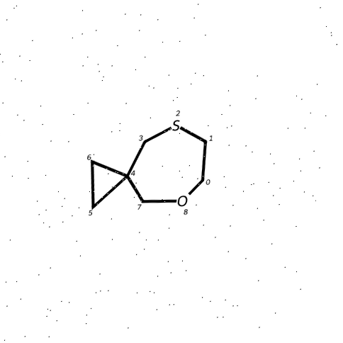 C1CSCC2(CC2)CO1